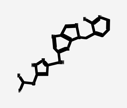 Fc1ncccc1Cn1ncc2ncc(Nc3cc(OC(F)F)[nH]n3)nc21